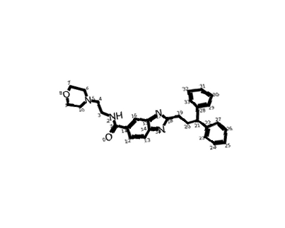 O=C(NCCN1CCOCC1)c1ccc2c(c1)=NC(CCC(c1ccccc1)c1ccccc1)N=2